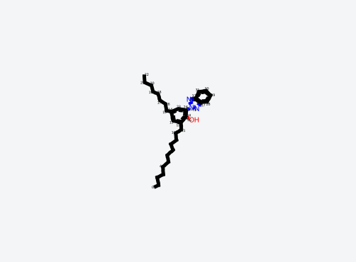 CCCCCCCCCCCCc1cc(CCCCCCCC)cc(-n2nc3ccccc3n2)c1O